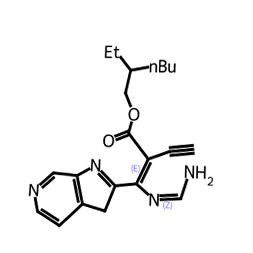 C#C/C(C(=O)OCC(CC)CCCC)=C(\N=C/N)C1=Nc2cnccc2C1